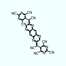 N#C/C(c1c(C#N)nc(C#N)nc1C#N)=c1/cnc2cc3n/c(=C(\C#N)c4c(C#N)nc(C#N)nc4C#N)cnc3cc2n1